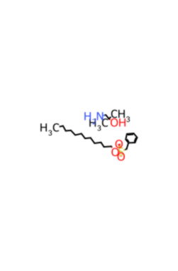 CC(C)(O)CN.CCCCCCCCCCCCOS(=O)(=O)Cc1ccccc1